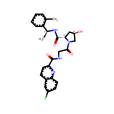 Cc1ccccc1[C@H](C)NC(=O)[C@@H]1C[C@@H](O)CN1C(=O)CNC(=O)c1ccc2cc(F)ccc2n1